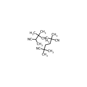 CC(C#N)C(C)(C)C#N.CC(C)(C#N)CCC(C)(C)C#N